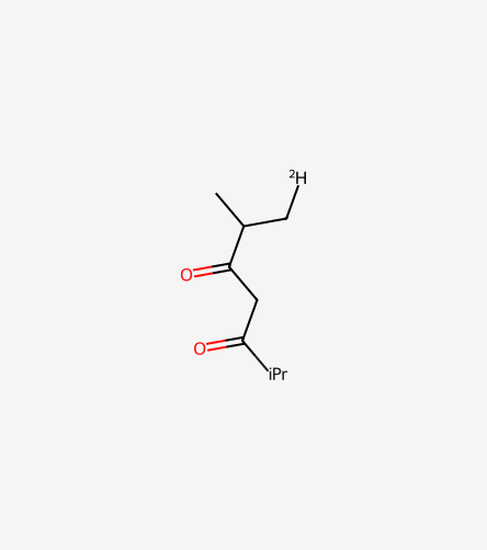 [2H]CC(C)C(=O)CC(=O)C(C)C